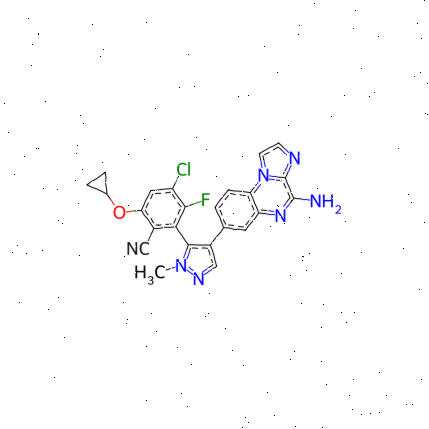 Cn1ncc(-c2ccc3c(c2)nc(N)c2nccn23)c1-c1c(F)c(Cl)cc(OC2CC2)c1C#N